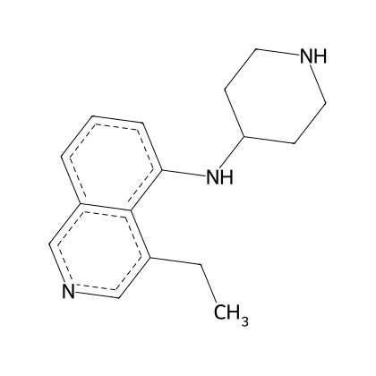 CCc1cncc2cccc(NC3CCNCC3)c12